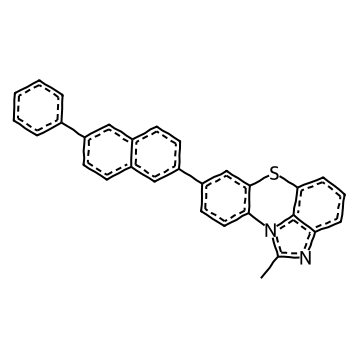 Cc1nc2cccc3c2n1-c1ccc(-c2ccc4cc(-c5ccccc5)ccc4c2)cc1S3